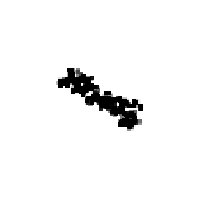 CC(Cc1ccc(C(=O)Oc2ccc(C(=N)N)cc2)o1)C(=O)N1CCCC1